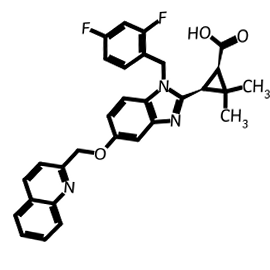 CC1(C)[C@H](C(=O)O)[C@@H]1c1nc2cc(OCc3ccc4ccccc4n3)ccc2n1Cc1ccc(F)cc1F